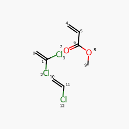 C=C(Cl)Cl.C=CC(=O)OC.C=CCl